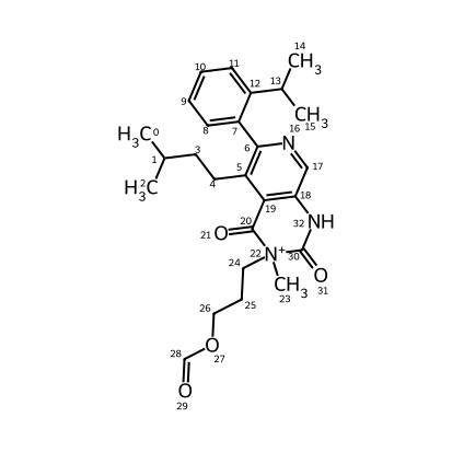 CC(C)CCc1c(-c2ccccc2C(C)C)ncc2c1C(=O)[N+](C)(CCCOC=O)C(=O)N2